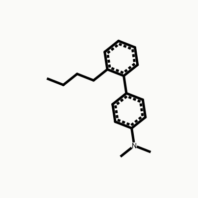 CCCCc1ccccc1-c1ccc(N(C)C)cc1